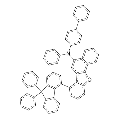 c1ccc(-c2ccc(N(c3ccccc3)c3cc4c(oc5cccc(-c6cccc7c6-c6ccccc6C7(c6ccccc6)c6ccccc6)c54)c4ccccc34)cc2)cc1